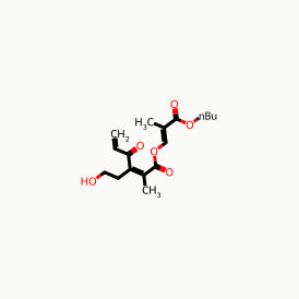 C=CC(=O)C(CCO)=C(C)C(=O)OC=C(C)C(=O)OCCCC